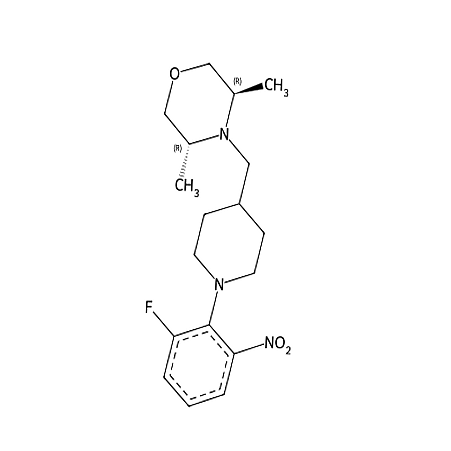 C[C@@H]1COC[C@@H](C)N1CC1CCN(c2c(F)cccc2[N+](=O)[O-])CC1